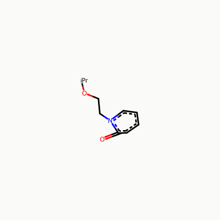 CC(C)OCCn1ccccc1=O